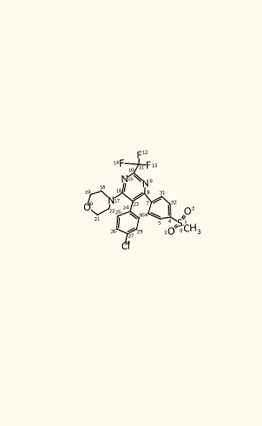 CS(=O)(=O)c1ccc(-c2nc(C(F)(F)F)nc(N3CCOCC3)c2-c2ccc(Cl)cc2)cc1